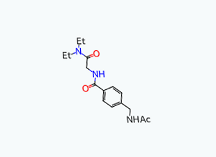 CCN(CC)C(=O)CNC(=O)c1ccc(CNC(C)=O)cc1